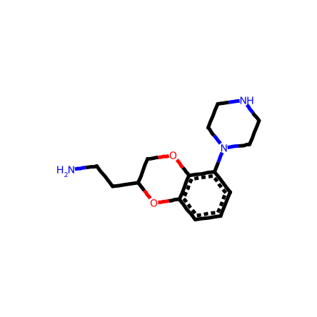 NCCC1COc2c(cccc2N2CCNCC2)O1